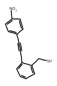 O=[N+]([O-])c1ccc(C#Cc2ccccc2CS)cc1